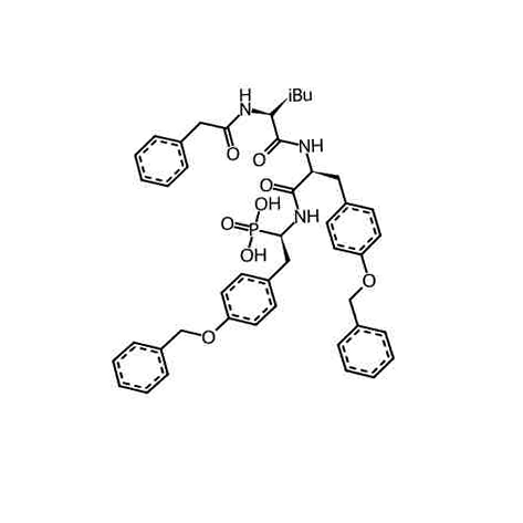 CC[C@H](C)[C@H](NC(=O)Cc1ccccc1)C(=O)N[C@@H](Cc1ccc(OCc2ccccc2)cc1)C(=O)N[C@@H](Cc1ccc(OCc2ccccc2)cc1)P(=O)(O)O